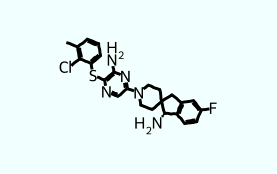 Cc1cccc(Sc2ncc(N3CCC4(CC3)Cc3cc(F)ccc3[C@H]4N)nc2N)c1Cl